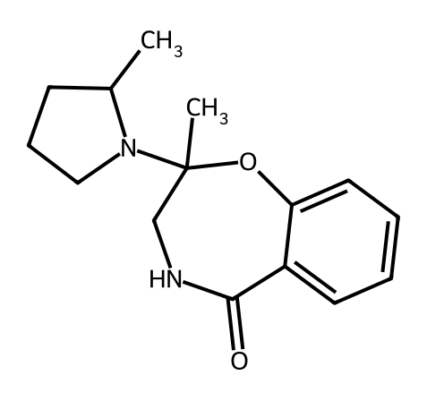 CC1CCCN1C1(C)CNC(=O)c2ccccc2O1